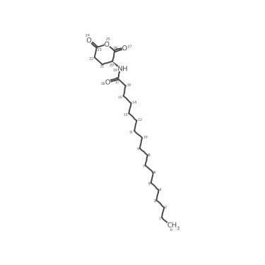 CCCCCCCCCCCCCCCCCC(=O)N[C@H]1CCC(=O)OC1=O